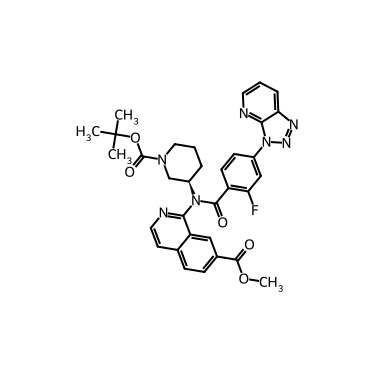 COC(=O)c1ccc2ccnc(N(C(=O)c3ccc(-n4nnc5cccnc54)cc3F)[C@@H]3CCCN(C(=O)OC(C)(C)C)C3)c2c1